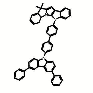 CC1(C)C2=CC=CCC2n2c1cc1c3ccccc3n(-c3ccc(-c4ccc(-n5c6ccc(-c7ccccc7)cc6c6cc(-c7ccccc7)ccc65)cc4)cc3)c12